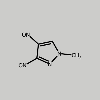 Cn1cc(N=O)c(N=O)n1